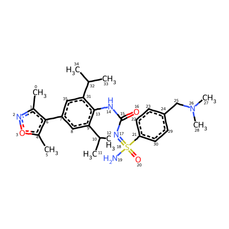 Cc1noc(C)c1-c1cc(C(C)C)c(NC(=O)N=S(N)(=O)c2ccc(CN(C)C)cc2)c(C(C)C)c1